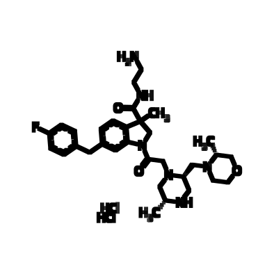 C[C@@H]1CN(CC(=O)N2CC(C)(C(=O)NCCN)c3ccc(Cc4ccc(F)cc4)cc32)[C@@H](CN2CCOC[C@H]2C)CN1.Cl.Cl